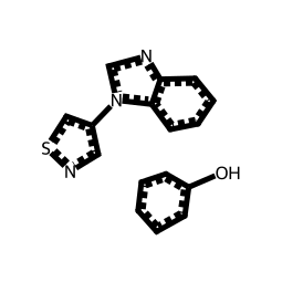 Oc1ccccc1.c1ccc2c(c1)ncn2-c1cnsc1